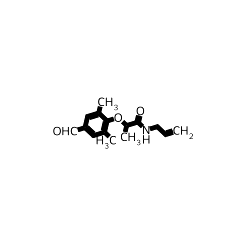 C=CCNC(=O)C(C)Oc1c(C)cc(C=O)cc1C